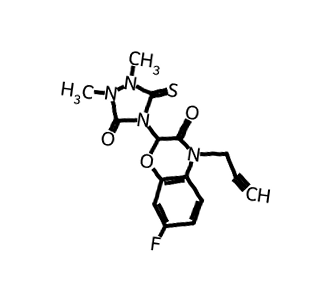 C#CCN1C(=O)C(n2c(=O)n(C)n(C)c2=S)Oc2cc(F)ccc21